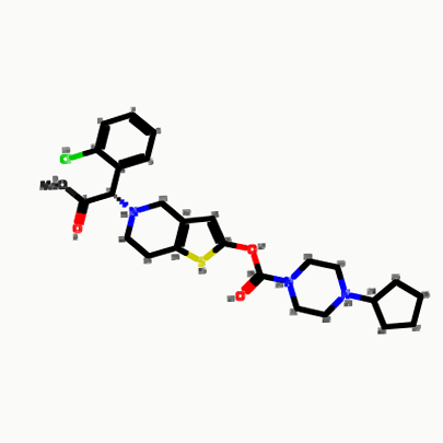 COC(=O)[C@H](c1ccccc1Cl)N1CCc2sc(OC(=O)N3CCN(C4CCCC4)CC3)cc2C1